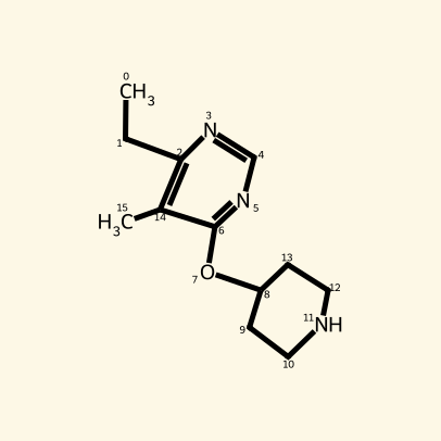 CCc1ncnc(OC2CCNCC2)c1C